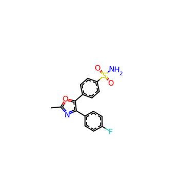 Cc1nc(-c2ccc(F)cc2)c(-c2ccc(S(N)(=O)=O)cc2)o1